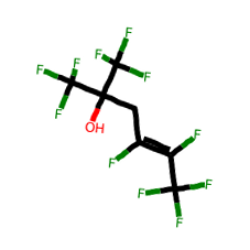 OC(CC(F)=C(F)C(F)(F)F)(C(F)(F)F)C(F)(F)F